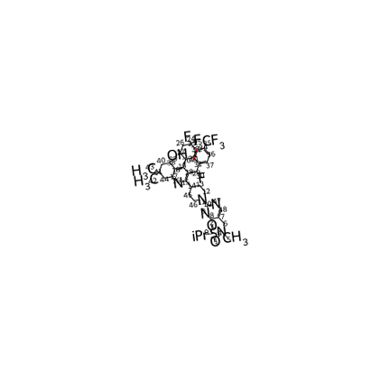 CC(C)S(=O)(=O)N(C)Cc1cnc(N2CCC(c3nc4c(c(C5CCC(F)(F)CC5)c3C(F)c3ccc(C(F)(F)F)cc3)C(O)CC(C)(C)C4)CC2)nc1